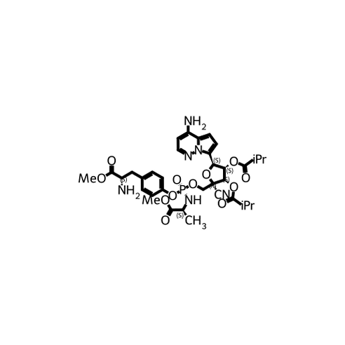 COC(=O)[C@H](C)NP(=O)(OC[C@@]1(C#N)O[C@@H](c2ccc3c(N)ccnn23)[C@H](OC(=O)C(C)C)[C@@H]1OC(=O)C(C)C)Oc1ccc(C[C@H](N)C(=O)OC)cc1